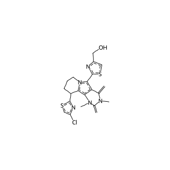 C=C1c2c(c3n(c2-c2nc(CO)cs2)CCCC3c2nc(Cl)cs2)N(C)C(=C)N1C